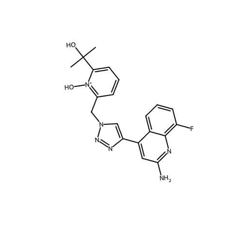 CC(C)(O)c1cccc(Cn2cc(-c3cc(N)nc4c(F)cccc34)nn2)[n+]1O